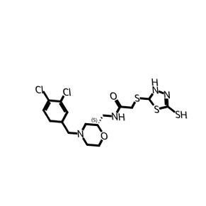 O=C(CSC1NN=C(S)S1)NC[C@H]1CN(CC2C=C(Cl)C(Cl)=CC2)CCO1